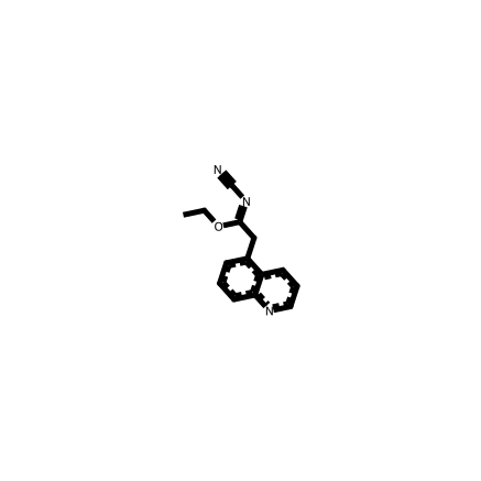 CCOC(Cc1cccc2ncccc12)=NC#N